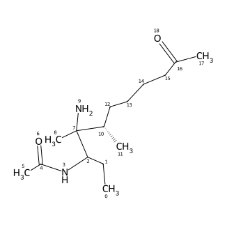 CCC(NC(C)=O)C(C)(N)[C@@H](C)CCCCC(C)=O